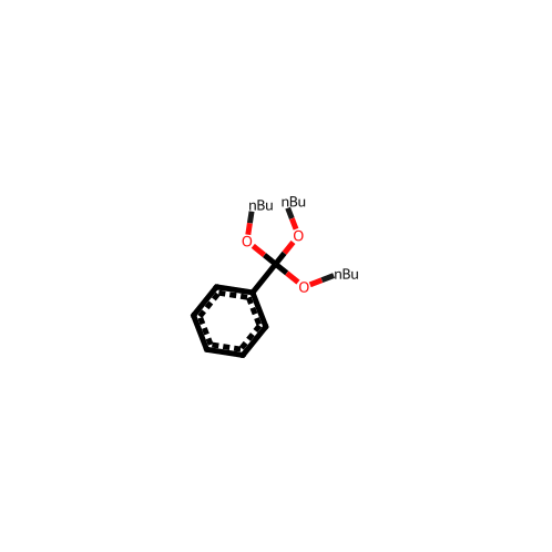 CCCCOC(OCCCC)(OCCCC)c1ccccc1